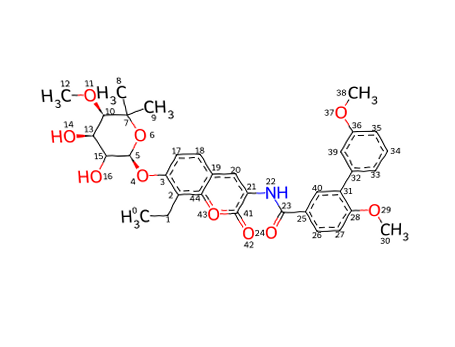 CCc1c(O[C@@H]2OC(C)(C)[C@H](OC)[C@H](O)C2O)ccc2cc(NC(=O)c3ccc(OC)c(-c4cccc(OC)c4)c3)c(=O)oc12